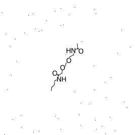 CCCCNC(=O)COCCOCCNC(C)=O